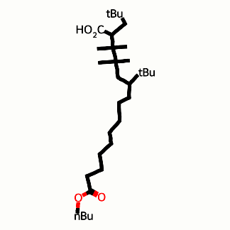 CCCCOC(=O)CCCCCCCCC(CC(C)(C)C(C)(C)C(CC(C)(C)C)C(=O)O)C(C)(C)C